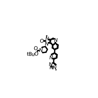 Cn1cc(-c2ccc(-c3ccc4ncc5c(c4c3)n([C@@H]3CCCN(C(=O)OC(C)(C)C)C3)c(=O)n5C)cn2)nn1